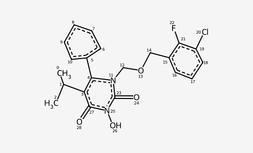 CC(C)c1c(-c2ccccc2)n(COCc2cccc(Cl)c2F)c(=O)n(O)c1=O